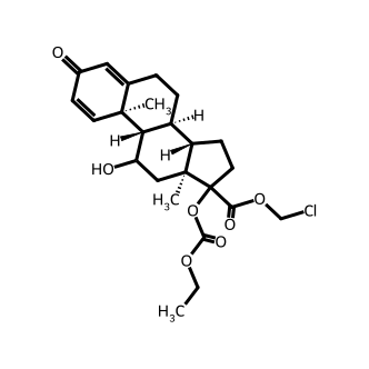 CCOC(=O)OC1(C(=O)OCCl)CC[C@H]2[C@@H]3CCC4=CC(=O)C=C[C@]4(C)[C@H]3C(O)C[C@@]21C